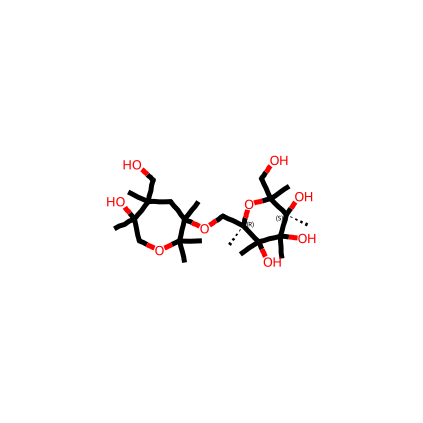 CC1(O)COC(C)(C)C(C)(OC[C@@]2(C)OC(C)(CO)[C@@](C)(O)C(C)(O)C2(C)O)CC1(C)CO